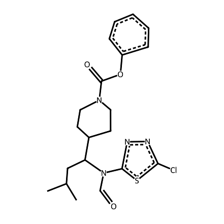 CC(C)CC(C1CCN(C(=O)Oc2ccccc2)CC1)N(C=O)c1nnc(Cl)s1